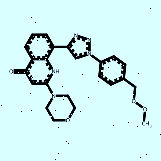 COOCc1ccc(-n2cc(-c3cccc4c(=O)cc(N5CCOCC5)[nH]c34)nn2)cc1